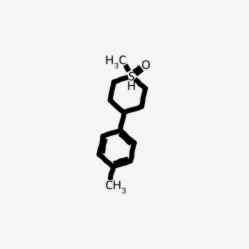 Cc1ccc(C2CC[SH](C)(=O)CC2)cc1